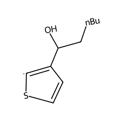 CCCCCC(O)c1[c]scc1